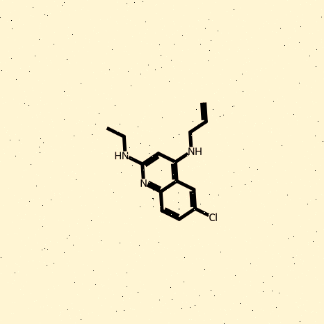 C=CCNc1cc(NCC)nc2ccc(Cl)cc12